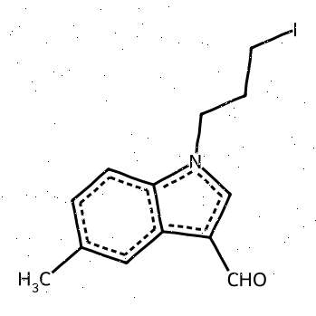 Cc1ccc2c(c1)c(C=O)cn2CCCI